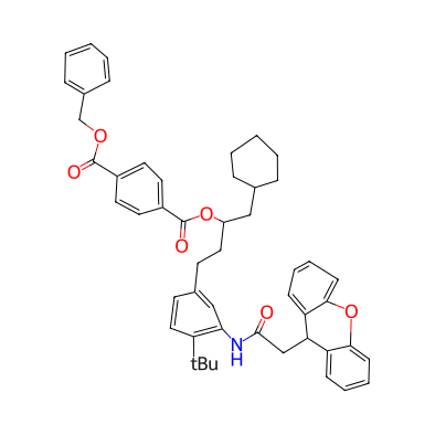 CC(C)(C)c1ccc(CCC(CC2CCCCC2)OC(=O)c2ccc(C(=O)OCc3ccccc3)cc2)cc1NC(=O)CC1c2ccccc2Oc2ccccc21